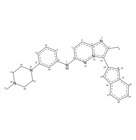 Cc1nc2ccc(Nc3cccc(N4CCN(C)CC4)c3)nn2c1-c1cc2ccccc2s1